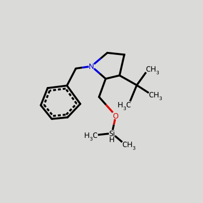 C[SiH](C)OCC1C(C(C)(C)C)CCN1Cc1ccccc1